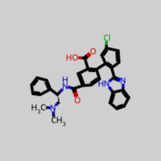 CN(C)C[C@@H](NC(=O)c1ccc(-c2cc(Cl)ccc2-c2nc3ccccc3[nH]2)c(C(=O)O)c1)c1ccccc1